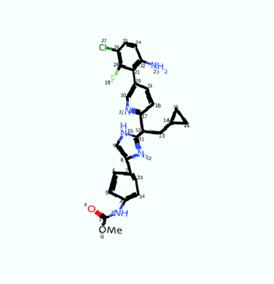 COC(=O)Nc1ccc(-c2c[nH]c(C(CC3CC3)c3ccc(-c4c(N)ccc(Cl)c4F)cn3)n2)cc1